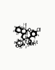 CCOC(=O)C(Cc1cc(=O)[nH]c2ccccc12)(NC(=O)c1ccc(Cl)cc1)N1CCOCC1.O=S(=O)(O)O